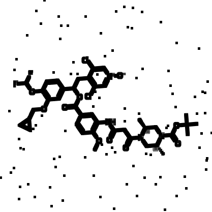 COc1ccc(C(=O)OC(Cc2c(Cl)c[n+]([O-])cc2Cl)c2ccc(OC(F)F)c(OCC3CC3)c2)cc1NC(=O)CC(=O)N1C[C@@H](C)N(C(=O)OC(C)(C)C)C[C@@H]1C